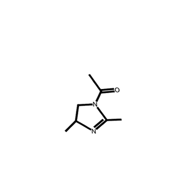 CC(=O)N1CC(C)N=C1C